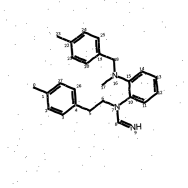 Cc1ccc(CCN(C=N)c2ccccc2N(C)Cc2ccc(C)cc2)cc1